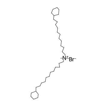 C[N+](C)(CCCCCCCCCCCCC1CCCCC1)CCCCCCCCCCCCC1CCCCC1.[Br-]